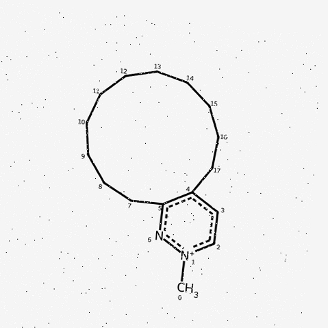 C[n+]1ccc2c(n1)CCCCCCCCCCC2